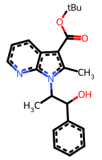 Cc1c(C(=O)OC(C)(C)C)c2cccnc2n1C(C)C(O)c1ccccc1